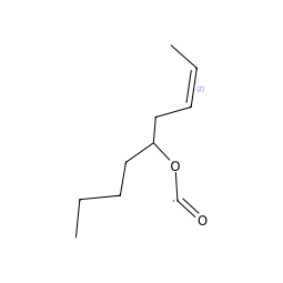 C/C=C\CC(CCCC)O[C]=O